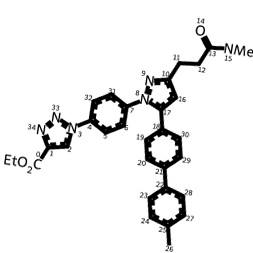 CCOC(=O)c1cn(-c2ccc(-n3nc(CCC(=O)NC)cc3-c3ccc(-c4ccc(C)cc4)cc3)cc2)nn1